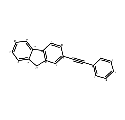 C(#Cc1ccccc1)c1[c]c2c(cc1)-c1ccccc1C2